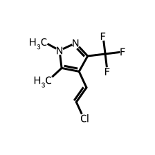 Cc1c(C=CCl)c(C(F)(F)F)nn1C